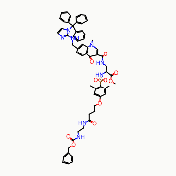 COC(=O)C(CNC(=O)c1cn(C)c2cc(CNc3nccn3C(c3ccccc3)(c3ccccc3)c3ccccc3)ccc2c1=O)NS(=O)(=O)c1c(C)cc(OCCCC(=O)NCCNC(=O)OCc2ccccc2)cc1C